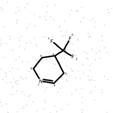 FC(F)(F)C1CC=NCC1